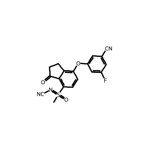 CS(=O)(=NC#N)c1ccc(Oc2cc(F)cc(C#N)c2)c2c1C(=O)CC2